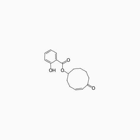 O=C1/C=C\CCC(OC(=O)c2ccccc2O)CCCC1